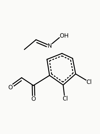 C/C=N/O.O=CC(=O)c1cccc(Cl)c1Cl